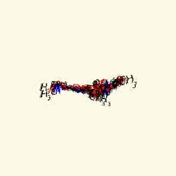 CCC(=O)NC(C(=O)NC(C)C(=O)Nc1ccc(C2=CN3C(=O)c4cc(OC)c(OCC(C)(C)CC(C)(C)COc5cc6c(cc5OC)C(=O)N5C=C(c7ccc(OC)cc7)CC5C=N6)cc4N=CC3C2)cc1)C(C)C